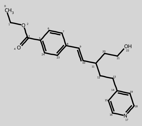 CCOC(=O)c1ccc(C=CC(C[CH]c2ccncc2)CCO)cc1